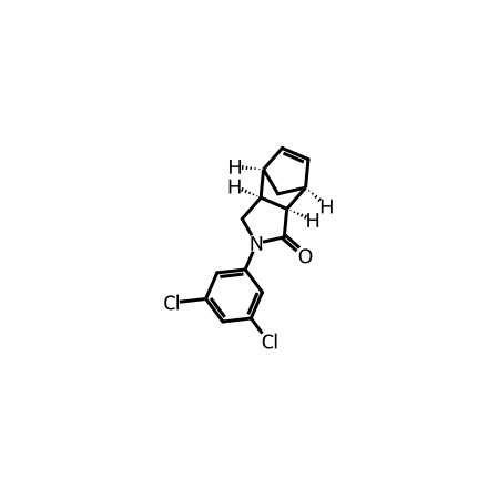 O=C1[C@H]2[C@@H](CN1c1cc(Cl)cc(Cl)c1)[C@H]1C=C[C@@H]2C1